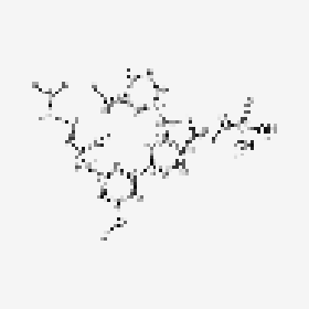 COc1cc(NC(=O)C=CCN(C)C)cc(-c2cnc3c(c2)c(-c2ccnc(OC)c2)cn3COP(=O)(O)O)c1